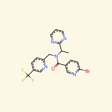 CC(c1ncccn1)N(Cc1ccc(C(F)(F)F)cn1)C(=O)c1ccc(Br)nc1